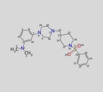 CN(C)c1cccc(N2CCN(CC3CCN(S(=O)(=O)c4ccccc4)CC3)CC2)c1